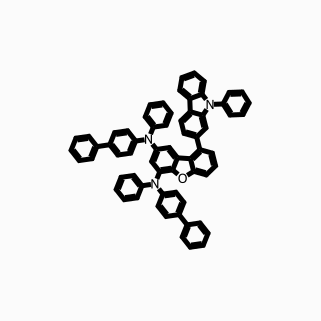 c1ccc(-c2ccc(N(c3ccccc3)c3cc(N(c4ccccc4)c4ccc(-c5ccccc5)cc4)c4oc5cccc(-c6ccc7c8ccccc8n(-c8ccccc8)c7c6)c5c4c3)cc2)cc1